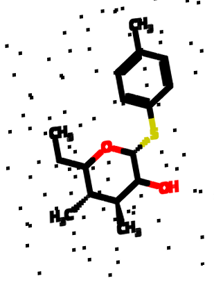 CCC1O[C@H](Sc2ccc(C)cc2)C(O)[C@@H](C)[C@@H]1C